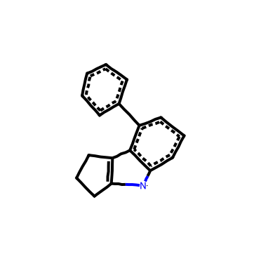 c1ccc(-c2cccc3c2C2=C(CCC2)[N]3)cc1